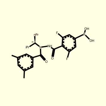 CCC[C@H](C(C)C)N(NC(=O)c1c(F)cc(B(O)O)cc1F)C(=O)c1cc(C)cc(C)c1